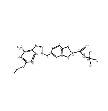 CCOc1nc(N)c2ncn(Cc3ccc4c(c3)CN(C(=O)OC(C)(C)C)C4)c2n1